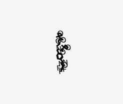 CC1(C(=O)OCCN(Cc2ccc(-c3noc(C(F)(F)F)n3)cc2)C(=O)C2(C)COC2)COC1